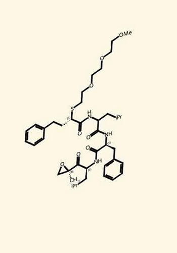 COCCOCCOCCS[C@@H](CCc1ccccc1)C(=O)NC(CC(C)C)C(=O)N[C@@H](Cc1ccccc1)C(=O)N[C@@H](CC(C)C)C(=O)[C@@]1(C)CO1